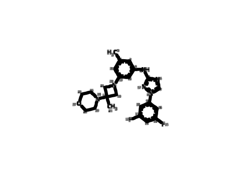 Cc1cc(Nc2ncn(-c3cc(F)cc(F)c3)n2)cc(N2CC(C)(N3CCOCC3)C2)c1